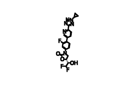 O=C1O[C@@H](C(O)C(F)F)CN1c1ccc(-c2ccc(-c3nnn(C4CC4)n3)nc2)c(F)c1